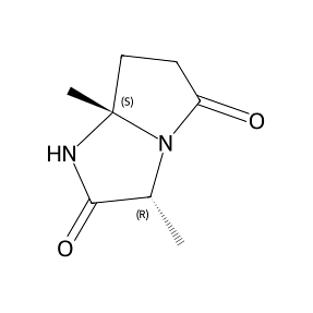 C[C@@H]1C(=O)N[C@]2(C)CCC(=O)N12